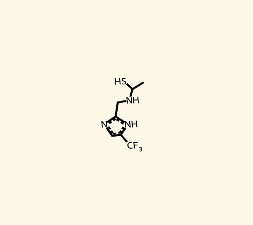 CC(S)NCc1ncc(C(F)(F)F)[nH]1